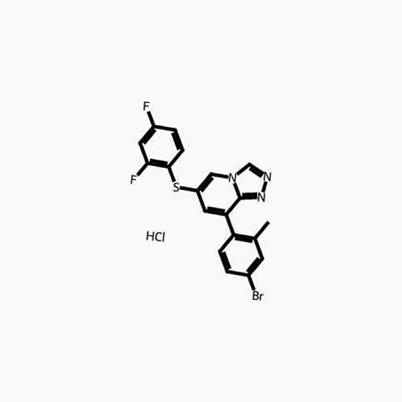 Cc1cc(Br)ccc1-c1cc(Sc2ccc(F)cc2F)cn2cnnc12.Cl